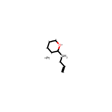 C=CC[SiH2]C1CCCCO1.[Pt]